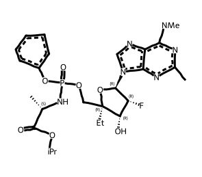 CC[C@]1(COP(=O)(N[C@@H](C)C(=O)OC(C)C)Oc2ccccc2)O[C@@H](n2cnc3c(NC)nc(C)nc32)[C@H](F)[C@@H]1O